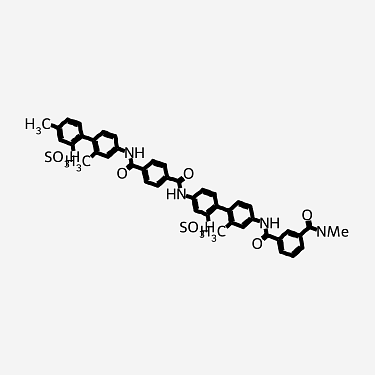 CNC(=O)c1cccc(C(=O)Nc2ccc(-c3ccc(NC(=O)c4ccc(C(=O)Nc5ccc(-c6ccc(C)cc6S(=O)(=O)O)c(C)c5)cc4)cc3S(=O)(=O)O)c(C)c2)c1